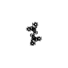 O=C(/C=C/C(=O)OC[C@@H](Cc1ccccc1)NS(=O)(=O)Cc1ccccc1)OC[C@@H](Cc1ccccc1)NS(=O)(=O)Cc1ccccc1